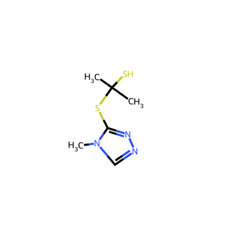 Cn1cnnc1SC(C)(C)S